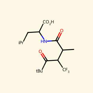 CC(C)CC(NC(=O)C(C)C(C(=O)C(C)(C)C)C(F)(F)F)C(=O)O